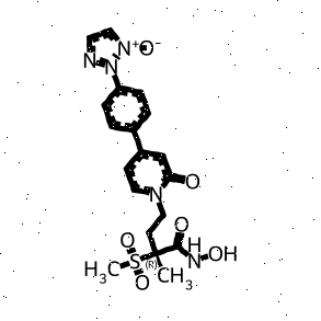 C[C@@](CCn1ccc(-c2ccc(-n3ncc[n+]3[O-])cc2)cc1=O)(C(=O)NO)S(C)(=O)=O